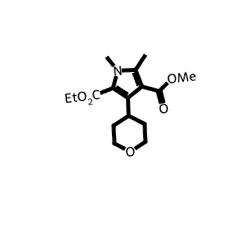 CCOC(=O)c1c(C2CCOCC2)c(C(=O)OC)c(C)n1C